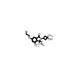 CC1(O)CC(N2C(=O)c3cc(OCCBr)cc(C(F)(F)F)c3C2(C)C)C1